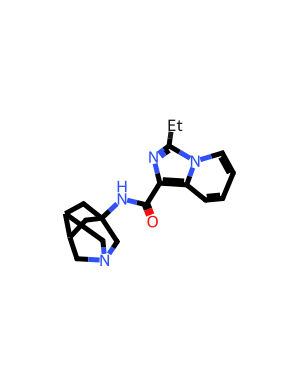 CCc1nc(C(=O)NC23CC4CN(CC4C2)C3)c2ccccn12